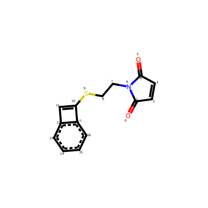 O=C1C=CC(=O)N1CCSC1=Cc2ccccc21